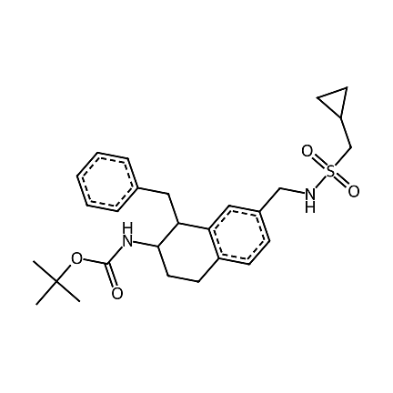 CC(C)(C)OC(=O)NC1CCc2ccc(CNS(=O)(=O)CC3CC3)cc2C1Cc1ccccc1